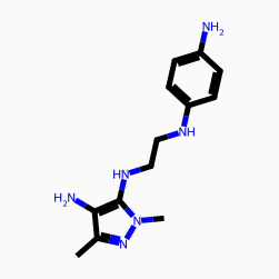 Cc1nn(C)c(NCCNc2ccc(N)cc2)c1N